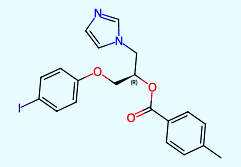 Cc1ccc(C(=O)O[C@@H](COc2ccc(I)cc2)Cn2ccnc2)cc1